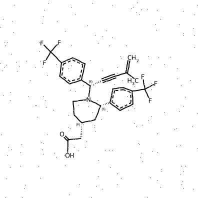 C=C(C)C#C[C@@H](c1ccc(C(F)(F)F)cc1)N1CC[C@@H](CC(=O)O)C[C@H]1c1ccc(C(F)(F)F)cc1